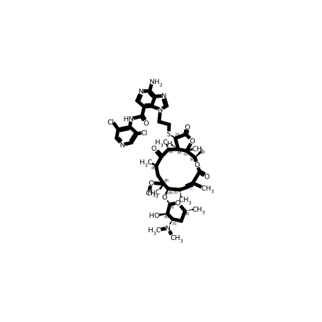 CO[C@]1(C)C[C@@H](C)C(=O)[C@H](C)[C@H]2[C@H](SCCn3cnc4c(N)ncc(C(=O)Nc5c(Cl)cncc5Cl)c43)C(=O)O[C@]2(C)[C@@H](I)OC(=O)/C(C)=C\[C@H](C)[C@H]1O[C@@H]1O[C@H](C)C[C@H](N(C)C)[C@H]1O